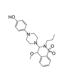 CCCN1C(N2CCN(c3ccc(O)cc3)CC2)C(OC)c2ccccc2S1(=O)=O